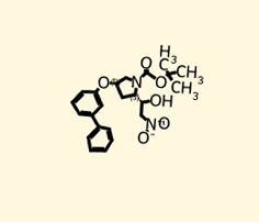 CC(C)(C)OC(=O)N1C[C@H](Oc2cccc(-c3ccccc3)c2)C[C@H]1C(O)C[N+](=O)[O-]